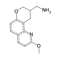 COc1ccc2ccc3c(c2n1)CC(CN)CO3